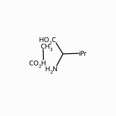 CC(=O)O.CC(C)C(N)C(=O)O